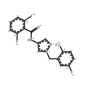 O=C(Nc1cnn(Cc2cc(F)ccc2C(F)(F)F)c1)c1c(F)cccc1F